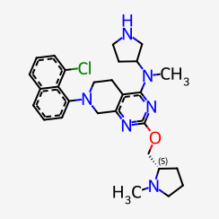 CN(c1nc(OC[C@@H]2CCCN2C)nc2c1CCN(c1cccc3cccc(Cl)c13)C2)C1CCNC1